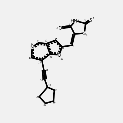 O=C1NC(=S)S/C1=C/c1cc2cncc(C#CC3CCCC3)c2o1